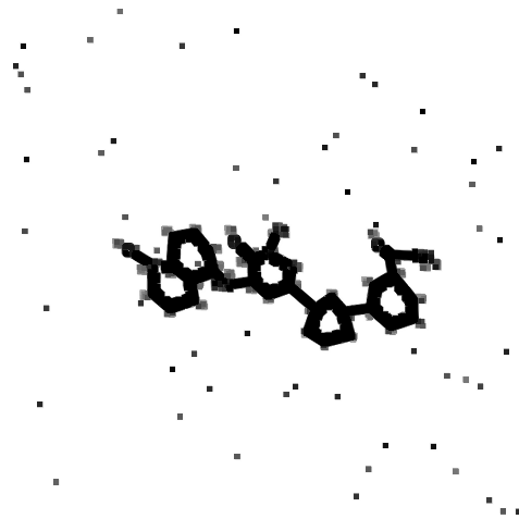 CCn1nc(-c2cccc(-c3cccc(C(N)=O)c3)c2)cc(Nc2cccc3c2ccc[n+]3[O-])c1=O